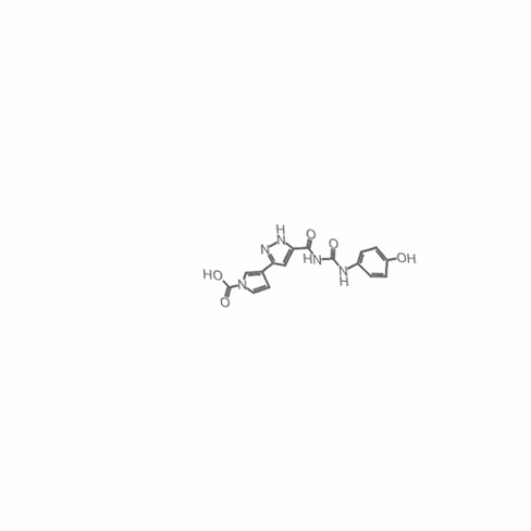 O=C(NC(=O)c1cc(-c2ccn(C(=O)O)c2)n[nH]1)Nc1ccc(O)cc1